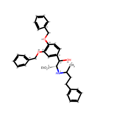 CCOC(=O)[C@@H](NC(C)CCc1ccccc1)C(O)c1ccc(OCc2ccccc2)c(OCc2ccccc2)c1